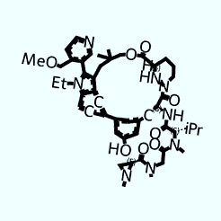 CCn1c(-c2cnccc2COC)c2c3cc(ccc31)-c1cc(O)cc(c1)C[C@H](NC(=O)[C@H](C(C)C)N(C)C(=O)CN(C)C(=O)[C@@H]1CN1C)C(=O)N1CCC[C@H](N1)C(=O)OCC(C)(C)C2